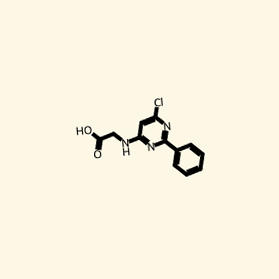 O=C(O)CNc1cc(Cl)nc(-c2ccccc2)n1